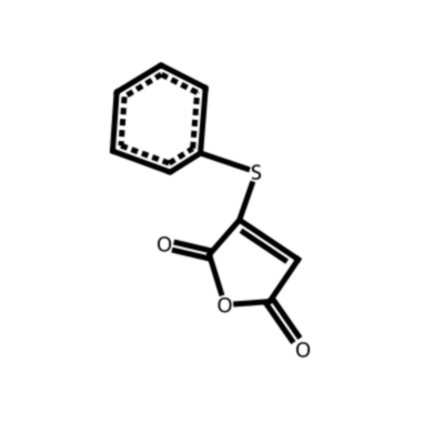 O=C1C=C(Sc2ccccc2)C(=O)O1